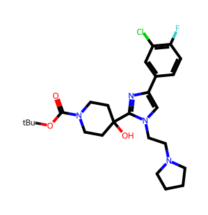 CC(C)(C)OC(=O)N1CCC(O)(c2nc(-c3ccc(F)c(Cl)c3)cn2CCN2CCCC2)CC1